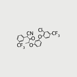 CC(Oc1cccc(Oc2ccc(C(F)(F)F)cc2Cl)c1)C(=O)C(C#N)c1cccc(C(F)(F)F)c1